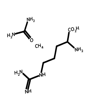 C.N=C(N)NCCCC(N)C(=O)O.NC(N)=O